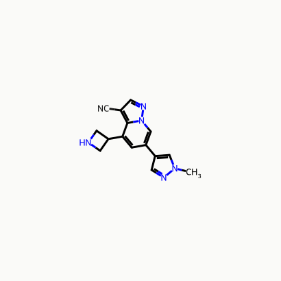 Cn1cc(-c2cc(C3CNC3)c3c(C#N)cnn3c2)cn1